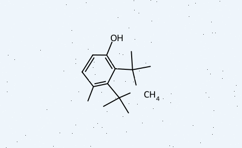 C.Cc1ccc(O)c(C(C)(C)C)c1C(C)(C)C